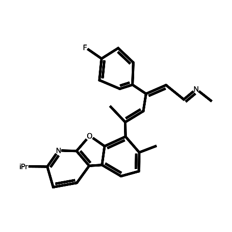 C/N=C/C=C(\C=C(/C)c1c(C)ccc2c1oc1nc(C(C)C)ccc12)c1ccc(F)cc1